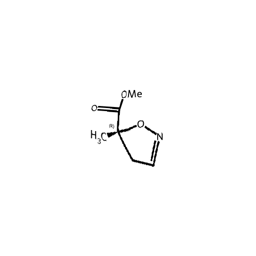 COC(=O)[C@@]1(C)CC=NO1